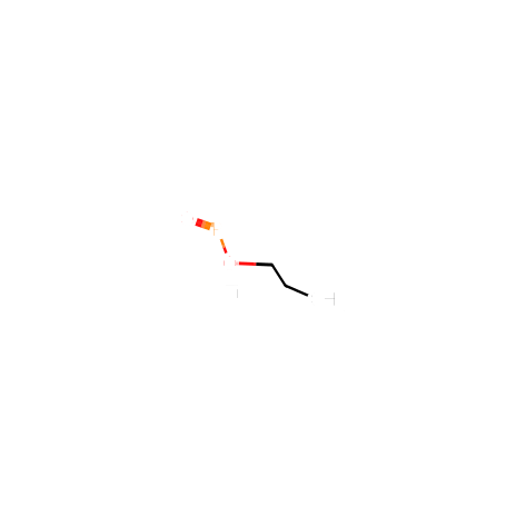 CCCOP=O.[Ti]